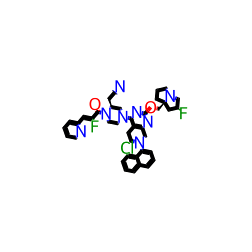 N#CC[C@H]1CN(c2nc(OC[C@@]34CCCN3C[C@H](F)C4)nc3c2CCN(c2cccc4cccc(Cl)c24)C3)CCN1C(=O)/C(F)=C/c1ccccn1